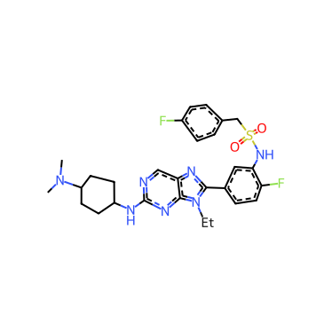 CCn1c(-c2ccc(F)c(NS(=O)(=O)Cc3ccc(F)cc3)c2)nc2cnc(NC3CCC(N(C)C)CC3)nc21